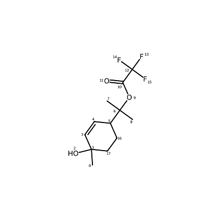 CC1(O)C=CC(C(C)(C)OC(=O)C(F)(F)F)CC1